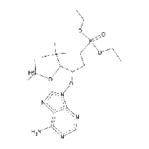 CCOP(=O)(CCC(On1cnc2c(N)ncnc21)C(O[SiH](C)C)C(C)(C)C)OCC